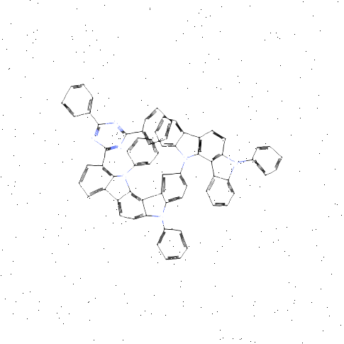 c1ccc(-c2nc(-c3ccccc3)nc(-c3cccc4c5ccc6c(c7cc(-n8c9ccccc9c9ccc%10c(c%11ccccc%11n%10-c%10ccccc%10)c98)ccc7n6-c6ccccc6)c5n(-c5ccccc5)c34)n2)cc1